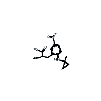 CCC(Cc1cc([N+](=O)[O-])ccc1NC1(C)CC1)C(=O)O